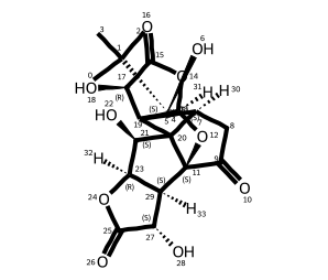 CC(C)(C)[C@@H]1[C@@H](O)[C@H]2CC(=O)[C@@]34O[C@@H]5OC(=O)[C@H](O)C51C23[C@H](O)[C@@H]1OC(=O)[C@@H](O)[C@@H]14